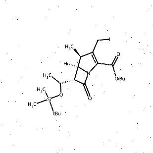 CC(C)COC(=O)C1=C(CI)[C@H](C)[C@@H]2[C@@H](C(C)O[Si](C)(C)C(C)(C)C)C(=O)N12